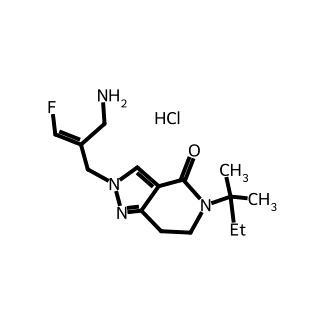 CCC(C)(C)N1CCc2nn(CC(=CF)CN)cc2C1=O.Cl